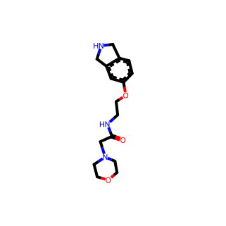 O=C(CN1CCOCC1)NCCOc1ccc2c(c1)CNC2